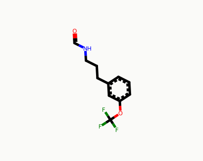 O=CNCCCc1cccc(OC(F)(F)F)c1